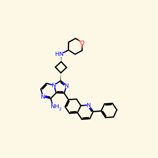 Nc1nccn2c1c(C1=CC=C3C=CC(C4=CCCC=C4)=NC3C1)nc2[C@H]1C[C@@H](NC2CCOCC2)C1